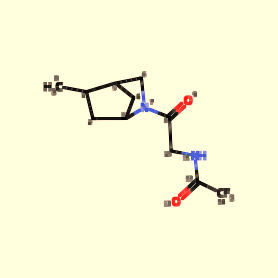 CC1CC2CC1CN2C(=O)CNC(=O)C(F)(F)F